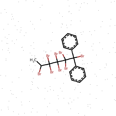 CC(Br)C(Br)(Br)C(Br)(Br)C(Br)(Br)C(Br)(c1ccccc1)c1ccccc1